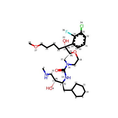 CNC[C@@H](O)[C@H](CC1CCCCC1)NC(=O)N1CCO[C@@H]([C@@](O)(CCCCOC)c2cccc(Cl)c2F)C1